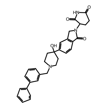 O=C1CCC(N2Cc3cc(C4(O)CCN(Cc5cccc(-c6ccccc6)c5)CC4)ccc3C2=O)C(=O)N1